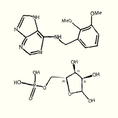 COc1cccc(CNc2ncnc3nc[nH]c23)c1OC.O=P(O)(O)OC[C@H]1OC(O)[C@H](O)[C@@H]1O